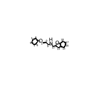 C(=COc1ccccc1)CNCC1Cc2ccccc2O1